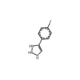 Fc1ccc(C2=CNNN2)cc1